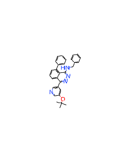 CC(C)(C)Oc1cncc(-c2nnc(NCc3ccccc3)c3c(-c4ccccc4)cccc23)c1